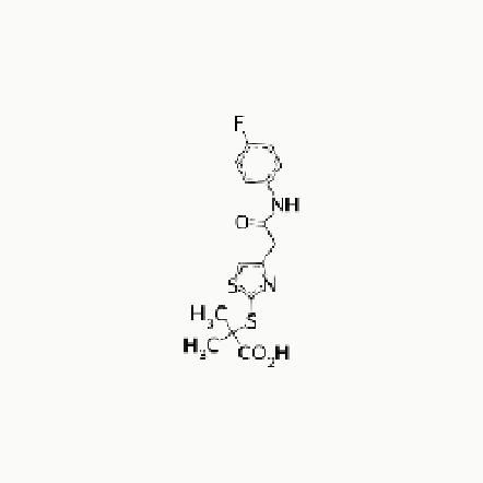 CC(C)(Sc1nc(CC(=O)Nc2ccc(F)cc2)cs1)C(=O)O